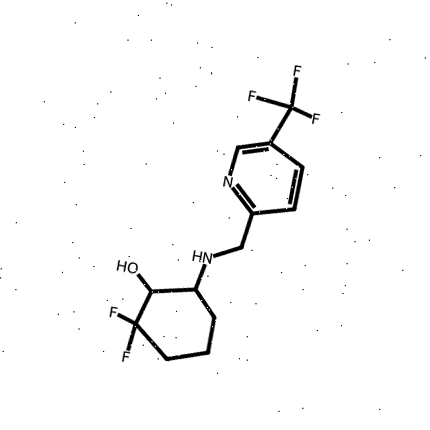 OC1C(NCc2ccc(C(F)(F)F)cn2)CCCC1(F)F